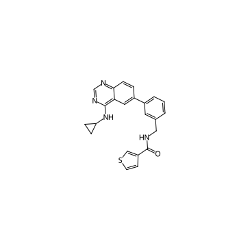 O=C(NCc1cccc(-c2ccc3ncnc(NC4CC4)c3c2)c1)c1ccsc1